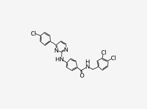 O=C(NCc1ccc(Cl)c(Cl)c1)c1ccc(Nc2nccc(-c3ccc(Cl)cc3)n2)cc1